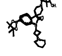 CC(C)(CO)C(=O)N1CCC2(CC1)C(=O)N(C1CC(N3CCCCC3)C1)c1cc(B3OC(C)(C)C(C)(C)O3)ccc12